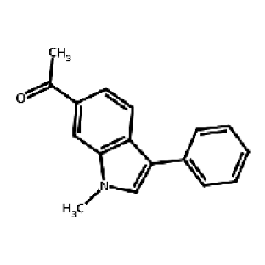 CC(=O)c1ccc2c(-c3ccccc3)cn(C)c2c1